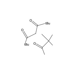 CC(=O)C(C)(C)C.CC(C)(C)C(=O)CC(=O)C(C)(C)C